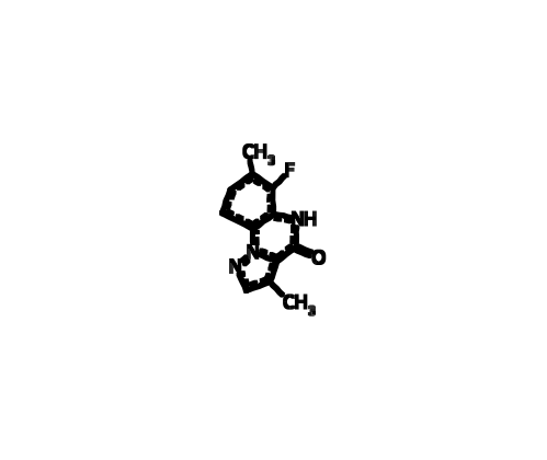 Cc1ccc2c([nH]c(=O)c3c(C)cnn32)c1F